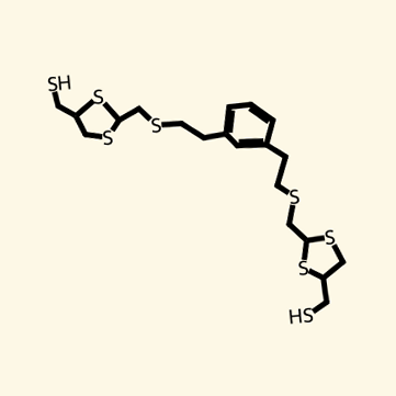 SCC1CSC(CSCCc2cccc(CCSCC3SCC(CS)S3)c2)S1